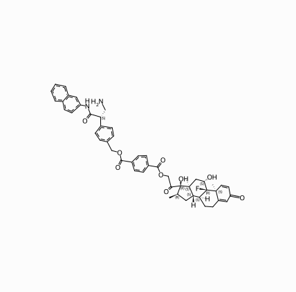 C[C@@H]1C[C@H]2[C@@H]3CCC4=CC(=O)C=C[C@]4(C)[C@@]3(F)[C@@H](O)C[C@]2(C)[C@@]1(O)C(=O)COC(=O)c1ccc(C(=O)OCc2ccc([C@@H](CN)C(=O)Nc3ccc4ccccc4c3)cc2)cc1